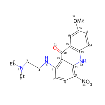 CCN(CC)CCNc1ccc([N+](=O)[O-])c2[nH]c3ccc(OC)cc3c(=O)c12